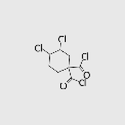 O=C(Cl)C1(C(=O)Cl)CCC(Cl)C(Cl)C1